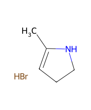 Br.CC1=CCCN1